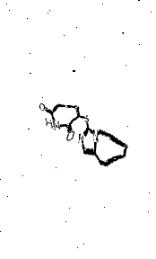 O=C1CCC(Sc2ncc3ccccn23)C(=O)N1